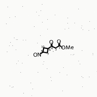 COC(=O)CC(=O)C1CC(N=O)C1